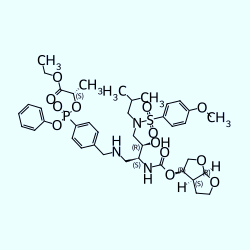 CCOC(=O)[C@H](C)OP(=O)(Oc1ccccc1)c1ccc(CNC[C@H](NC(=O)O[C@H]2CO[C@H]3OCC[C@H]32)[C@H](O)CN(CC(C)C)S(=O)(=O)c2ccc(OC)cc2)cc1